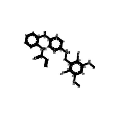 C=CC(=O)Nc1ccccc1Nc1cnc(NCc2c(F)c(OC)cc(OC)c2F)cn1